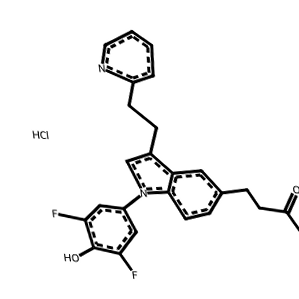 Cl.O=C(O)CCc1ccc2c(c1)c(CCc1ccccn1)cn2-c1cc(F)c(O)c(F)c1